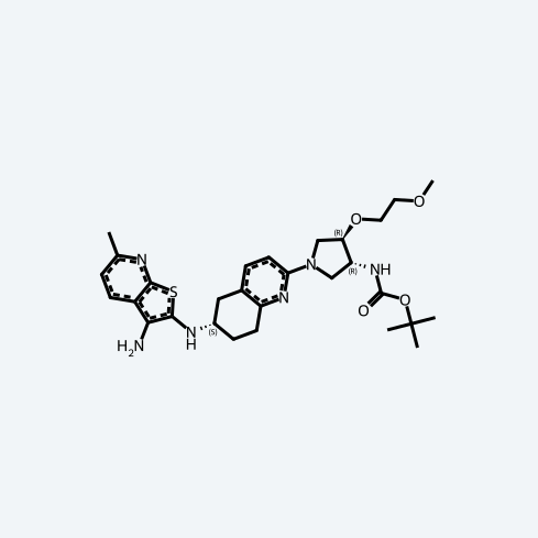 COCCO[C@@H]1CN(c2ccc3c(n2)CC[C@H](Nc2sc4nc(C)ccc4c2N)C3)C[C@H]1NC(=O)OC(C)(C)C